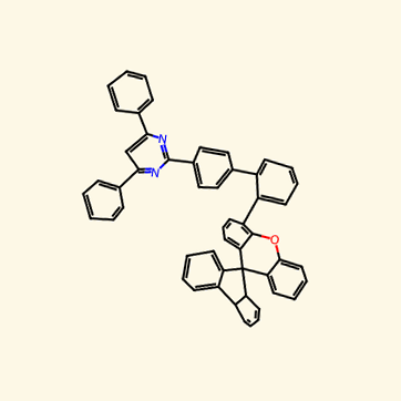 C1=CC2c3ccccc3C3(c4ccccc4Oc4c(-c5ccccc5-c5ccc(-c6nc(-c7ccccc7)cc(-c7ccccc7)n6)cc5)cccc43)C2C=C1